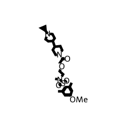 COc1cc(C)c(S(=O)(=O)N(C)CCOCC(=O)N2CCC(C3CCN(C4CC4)CC3)CC2)c(C)c1